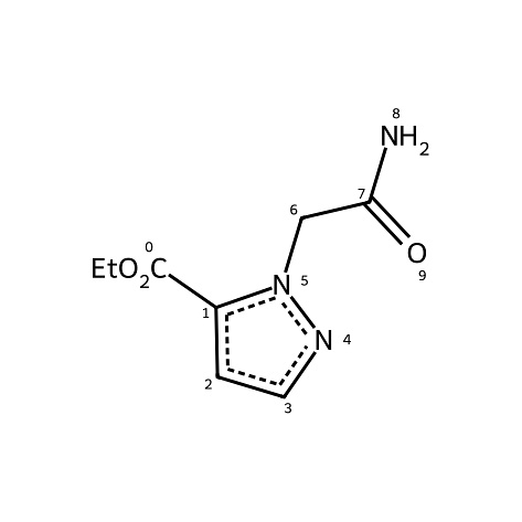 CCOC(=O)c1ccnn1CC(N)=O